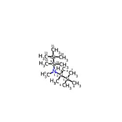 CN([Si](C)(C)[Si](C)(C)C)[Si](C)(C)[Si](C)(C)C